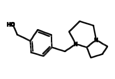 OCc1ccc(CN2CCCN3CCCC32)cc1